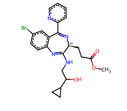 COC(=O)CC[C@@H]1N=C(c2ccccn2)c2cc(Br)ccc2N=C1NCC(O)C1CC1